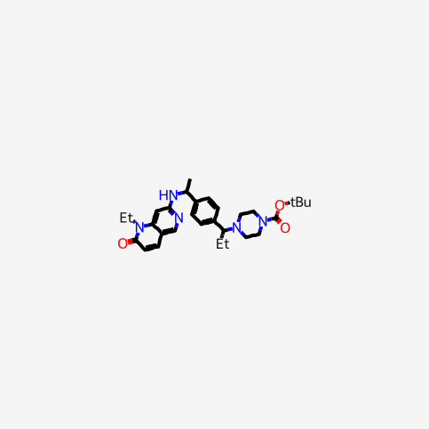 CCC(c1ccc(C(C)Nc2cc3c(ccc(=O)n3CC)cn2)cc1)N1CCN(C(=O)OC(C)(C)C)CC1